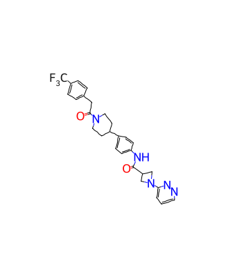 O=C(Nc1ccc(C2CCN(C(=O)Cc3ccc(C(F)(F)F)cc3)CC2)cc1)C1CN(c2cccnn2)C1